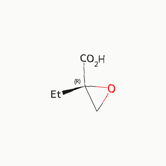 CC[C@]1(C(=O)O)CO1